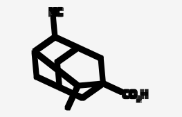 [C-]#[N+]C1C2CC3CC1C(C)C(C(=O)O)(C3)C2